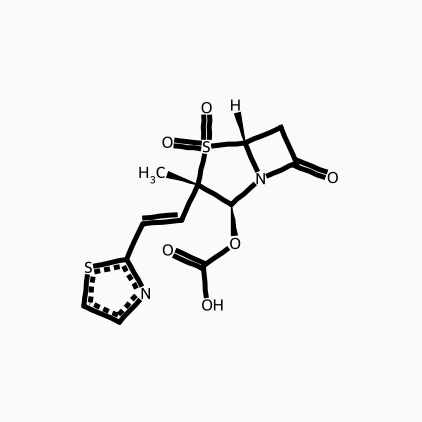 C[C@]1(/C=C/c2nccs2)[C@H](OC(=O)O)N2C(=O)C[C@H]2S1(=O)=O